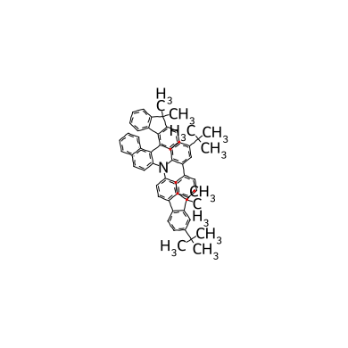 CC(C)(C)c1ccc(N(c2ccc3c(c2)C(C)(C)c2cc(C(C)(C)C)ccc2-3)c2ccc3ccccc3c2-c2cccc3c2-c2ccccc2C3(C)C)c(-c2ccccc2)c1